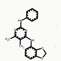 Cc1nc(Nc2ccccc2)nc(Nc2cccc3c2OCO3)c1C